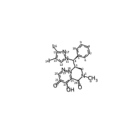 CN1C[C@H]([C@H](c2ccccc2)n2cc(I)c(I)n2)n2ncc(=O)c(O)c2C1=O